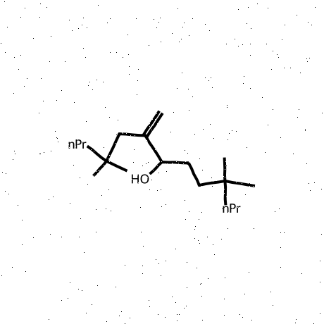 C=C(CC(C)(C)CCC)C(O)CCC(C)(C)CCC